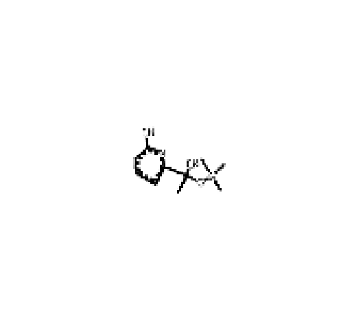 CC(C#N)(O[Si](C)(C)C)c1cccc(C#N)n1